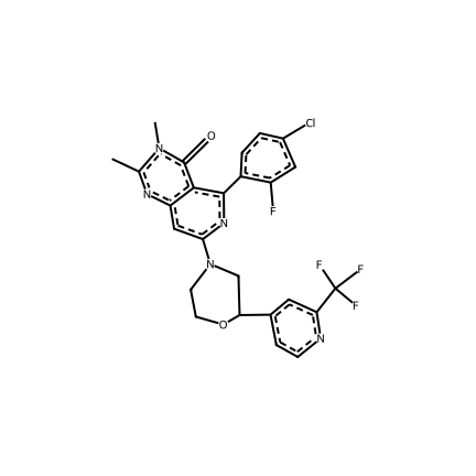 Cc1nc2cc(N3CCOC(c4ccnc(C(F)(F)F)c4)C3)nc(-c3ccc(Cl)cc3F)c2c(=O)n1C